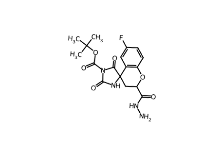 CC(C)(C)OC(=O)N1C(=O)NC2(CC(C(=O)NN)Oc3ccc(F)cc32)C1=O